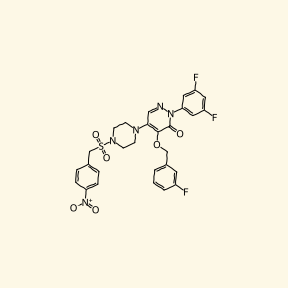 O=c1c(OCc2cccc(F)c2)c(N2CCN(S(=O)(=O)Cc3ccc([N+](=O)[O-])cc3)CC2)cnn1-c1cc(F)cc(F)c1